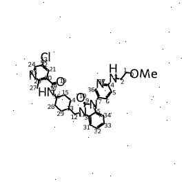 COCCNc1ccc(-n2c(=O)n(CC3CCC(NC(=O)c4cc(Cl)cnc4C)CC3)c3ccccc32)cn1